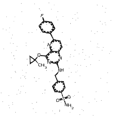 CC1(Oc2nc(NCc3ccc(S(N)(=O)=O)cc3)nc3ccc(-c4ccc(F)cc4)nc23)CC1